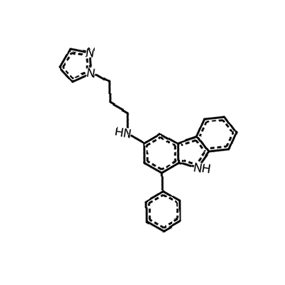 c1ccc(-c2cc(NCCCn3cccn3)cc3c2[nH]c2ccccc23)cc1